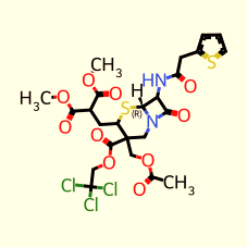 COC(=O)C(CC1S[C@@H]2C(NC(=O)Cc3cccs3)C(=O)N2CC1(COC(C)=O)C(=O)OCC(Cl)(Cl)Cl)C(=O)OC